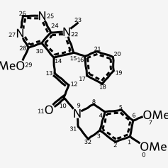 COc1cc2c(cc1OC)CN(C(=O)/C=C/c1c(-c3ccccc3)n(C)c3ncnc(OC)c13)CC2